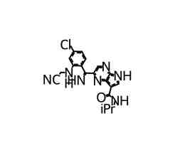 CC(C)NC(=O)c1c[nH]c2ncc(C(=N)c3ccc(Cl)cc3NCC#N)nc12